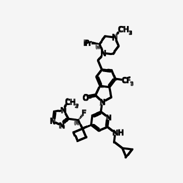 CC(C)[C@H]1CN(C)CCN1Cc1cc2c(c(C(F)(F)F)c1)CN(c1cc(C3([C@@H](F)c4nncn4C)CCC3)cc(NCC3CC3)n1)C2=O